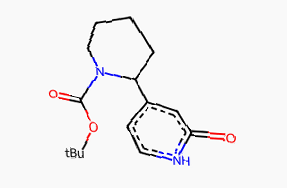 CC(C)(C)OC(=O)N1CCCCC1c1cc[nH]c(=O)c1